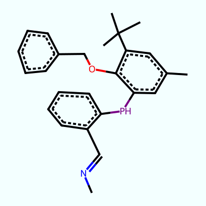 C/N=C/c1ccccc1Pc1cc(C)cc(C(C)(C)C)c1OCc1ccccc1